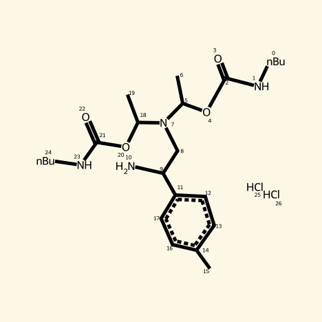 CCCCNC(=O)OC(C)N(CC(N)c1ccc(C)cc1)C(C)OC(=O)NCCCC.Cl.Cl